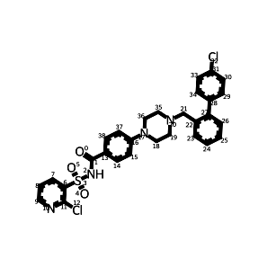 O=C(NS(=O)(=O)c1cccnc1Cl)c1ccc(N2CCN(Cc3ccccc3-c3ccc(Cl)cc3)CC2)cc1